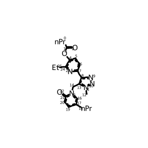 CCCC(=O)Oc1ccc(-c2nnn(C)c2Cn2cc(CCC)ccc2=O)nc1CC